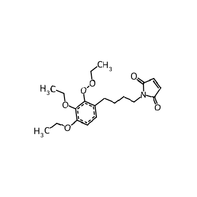 CCOOc1c(CCCCN2C(=O)C=CC2=O)ccc(OCC)c1OCC